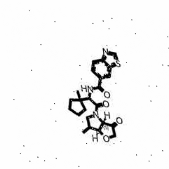 CC1CN(C(=O)C(NC(=O)c2ccc3ncsc3c2)C2(C)CCCC2)[C@@H]2C(=O)CO[C@@H]12